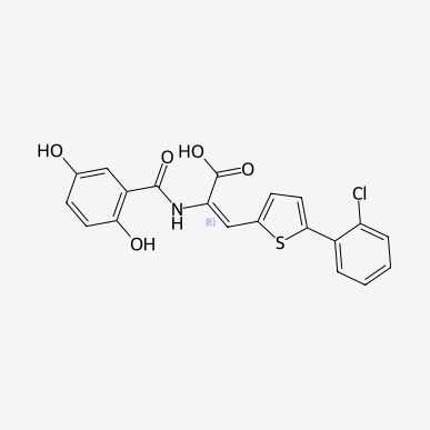 O=C(O)/C(=C\c1ccc(-c2ccccc2Cl)s1)NC(=O)c1cc(O)ccc1O